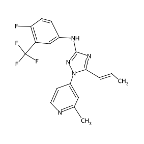 C/C=C/c1nc(Nc2ccc(F)c(C(F)(F)F)c2)nn1-c1ccnc(C)c1